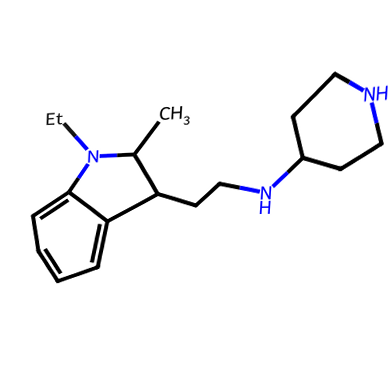 CCN1c2ccccc2C(CCNC2CCNCC2)C1C